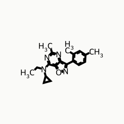 CCN(c1nc(C)nc2c(-c3ccc(C)cc3C)noc12)C1CC1